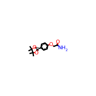 CC1(C)OB(c2ccc(OCC(N)=O)cc2)OC1(C)C